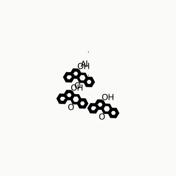 O=C1c2ccccc2Cc2c(O)cc3ccccc3c21.O=C1c2ccccc2Cc2c(O)cc3ccccc3c21.O=C1c2ccccc2Cc2c(O)cc3ccccc3c21.[Al]